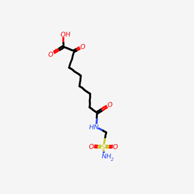 NS(=O)(=O)CNC(=O)CCCCCC(=O)C(=O)O